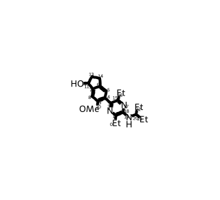 CCc1nc(-c2cc3c(cc2OC)C(O)CC3)c(CC)nc1NC(CC)CC